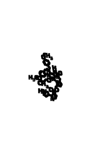 CCCCOc1nc(N(Cc2ccc(OC)cc2)Cc2ccc(OC)cc2)c2[nH]c(=O)n(Cc3ccc(COC(=O)n4ccnc4C4CCNC4)s3)c2n1